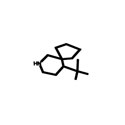 CC(C)(C)C1CCNCC12CCCC2